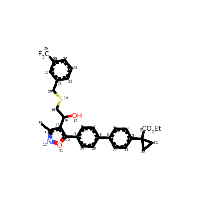 CCOC(=O)C1(c2ccc(-c3ccc(-c4onc(C)c4C(O)CSCc4cccc(C(F)(F)F)c4)cc3)cc2)CC1